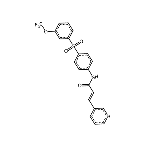 O=C(C=Cc1cccnc1)Nc1ccc(S(=O)(=O)c2cccc(OC(F)(F)F)c2)cc1